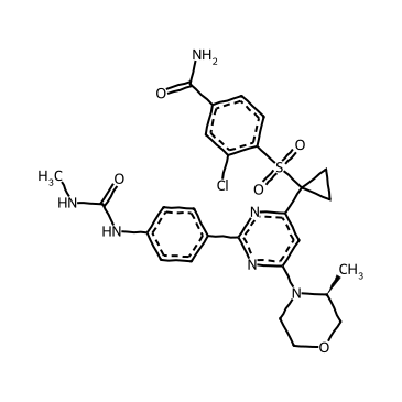 CNC(=O)Nc1ccc(-c2nc(N3CCOC[C@@H]3C)cc(C3(S(=O)(=O)c4ccc(C(N)=O)cc4Cl)CC3)n2)cc1